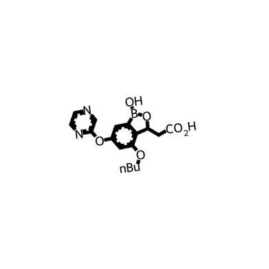 CCCCOc1cc(Oc2cnccn2)cc2c1C(CC(=O)O)OB2O